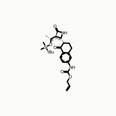 C=CCOC(=O)Nc1ccc2c(c1)CCC([C@H]1NC(=O)[C@@H]1[C@@H](C)O[Si](C)(C)C(C)(C)C)C2=O